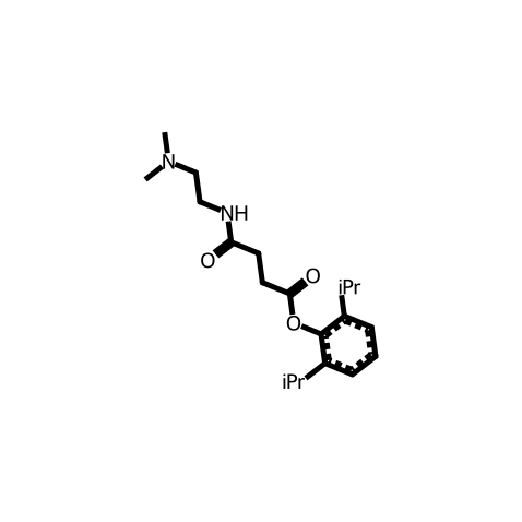 CC(C)c1cccc(C(C)C)c1OC(=O)CCC(=O)NCCN(C)C